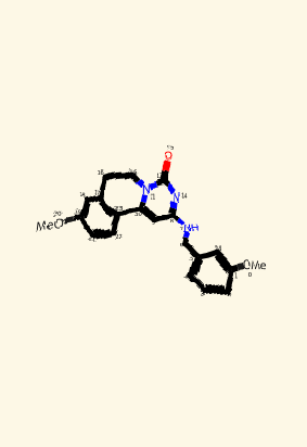 COc1cccc(CNc2cc3n(c(=O)n2)CCc2cc(OC)ccc2-3)c1